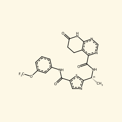 C[C@@H](NC(=O)c1ncnc2c1CCC(=O)N2)c1ncc(C(=O)Nc2cccc(OC(F)(F)F)c2)s1